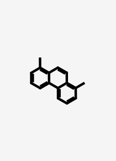 Cc1cccc2c1ccc1c(C)cccc12